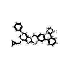 CCCC1N=C2C(=CN(c3ccccc3)CN2CC2CC2)N1Cc1ccc(-c2ccccc2-c2nnn[nH]2)cc1